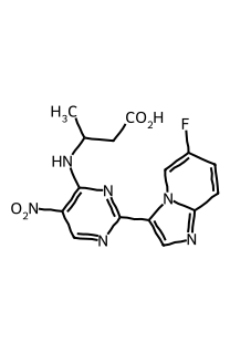 CC(CC(=O)O)Nc1nc(-c2cnc3ccc(F)cn23)ncc1[N+](=O)[O-]